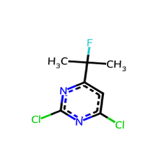 CC(C)(F)c1cc(Cl)nc(Cl)n1